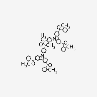 Cc1ccccc1C(=O)c1ccc2c(c1)c1cc(C(=O)c3ccccc3C)ccc1n2-c1ccc(C(C)C(=O)C(C)c2ccc(-n3c4ccc(C(=O)c5ccccc5C)cc4c4cc(C(=O)c5ccccc5C)ccc43)cc2)cc1